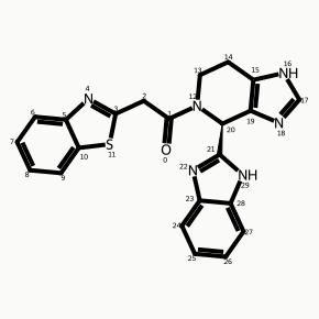 O=C(Cc1nc2ccccc2s1)N1CCc2[nH]cnc2[C@H]1c1nc2ccccc2[nH]1